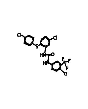 O=C(Nc1ccc(Cl)c(C(F)(F)F)c1)Nc1cc(Cl)ccc1Sc1ccc(Cl)cc1